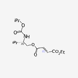 CCOC(=O)/C=C/C(=O)OC[C@@H](NC(=O)OC(C)C)C(C)C